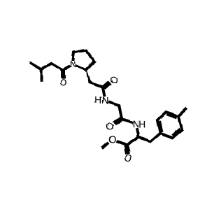 COC(=O)C(Cc1ccc(C)cc1)NC(=O)CNC(=O)C[C@@H]1CCCN1C(=O)CC(C)C